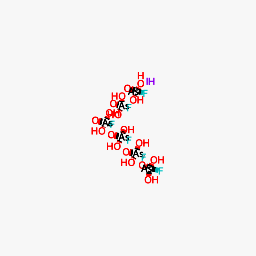 I.O=[As](O)(O)F.O=[As](O)(O)F.O=[As](O)(O)F.O=[As](O)(O)F.O=[As](O)(O)F.O=[As](O)(O)F